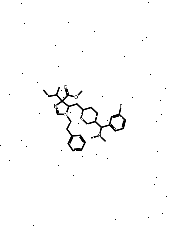 CCC(C)C1(C(=O)OC)N=CN(CCc2ccccc2)C1CC1CCC(C(c2cccc(F)c2)N(C)C)CC1